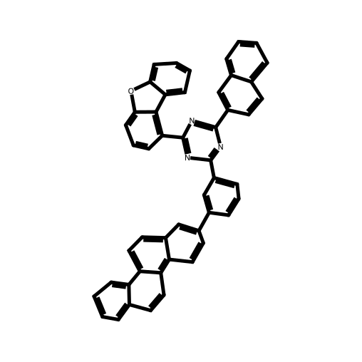 c1cc(-c2ccc3c(ccc4c5ccccc5ccc34)c2)cc(-c2nc(-c3ccc4ccccc4c3)nc(-c3cccc4oc5ccccc5c34)n2)c1